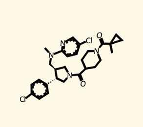 CN(C[C@H]1CN(C(=O)C2CCN(C(=O)C3(C)CC3)CC2)C[C@@H]1c1ccc(Cl)cc1)c1ccc(Cl)cn1